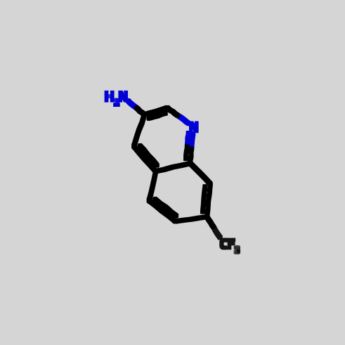 Nc1cnc2cc(C(F)(F)F)ccc2c1